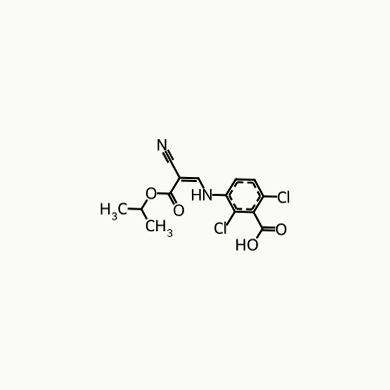 CC(C)OC(=O)C(C#N)=CNc1ccc(Cl)c(C(=O)O)c1Cl